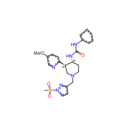 COc1ccc([C@@H]2CN(Cc3ccn(S(C)(=O)=O)n3)CC[C@H]2NC(=O)Nc2ccccc2)nc1